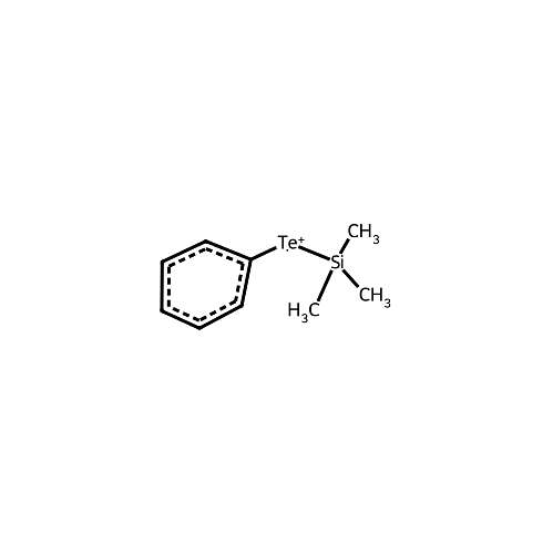 C[Si](C)(C)[Te+]c1ccccc1